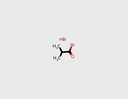 Br.CC(C)C(=O)Br